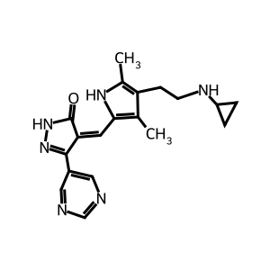 Cc1[nH]c(C=C2C(=O)NN=C2c2cncnc2)c(C)c1CCNC1CC1